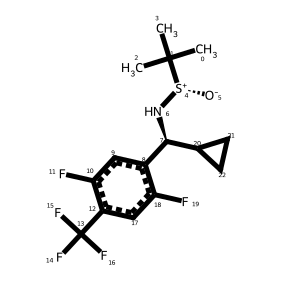 CC(C)(C)[S@+]([O-])N[C@H](c1cc(F)c(C(F)(F)F)cc1F)C1CC1